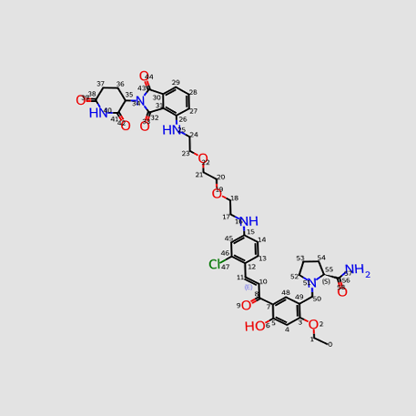 CCOc1cc(O)c(C(=O)/C=C/c2ccc(NCCOCCOCCNc3cccc4c3C(=O)N(C3CCC(=O)NC3=O)C4=O)cc2Cl)cc1CN1CCC[C@H]1C(N)=O